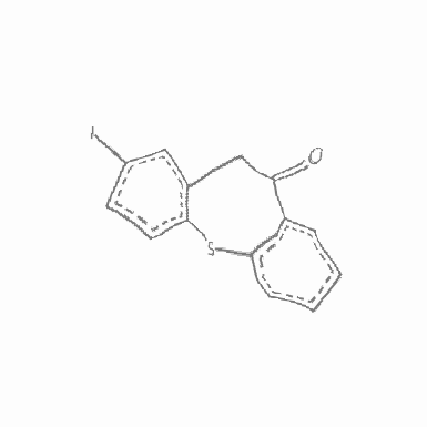 O=C1Cc2cc(I)ccc2Sc2ccccc21